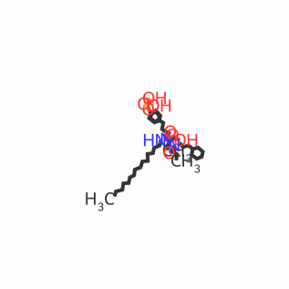 CCCCCCCCCCCCCCCCNN(C(=O)CCc1ccc(OP(=O)(O)O)cc1)C(CC)(C(=O)O)N(CCCC1CCCCC1)C(=O)CC